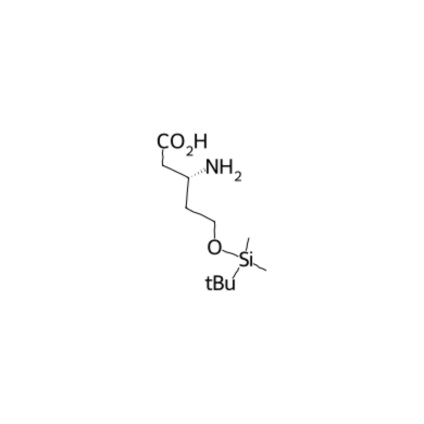 CC(C)(C)[Si](C)(C)OCC[C@@H](N)CC(=O)O